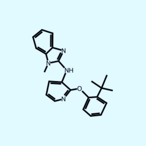 Cn1c(Nc2cccnc2Oc2ccccc2C(C)(C)C)nc2ccccc21